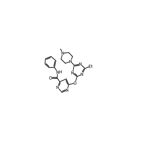 CCc1nc(Oc2cc(C(=O)Nc3ccccc3)ncn2)nc(N2CCN(C)CC2)n1